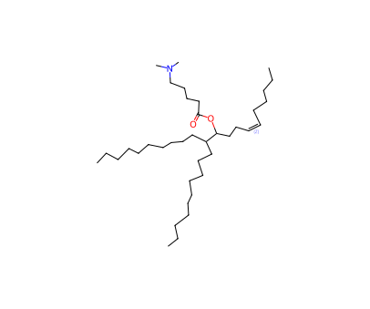 CCCCC/C=C\CCC(OC(=O)CCCCN(C)C)C(CCCCCCCCCC)CCCCCCCCCC